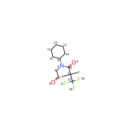 CC(C)(C(=O)N(CC=O)C1CCCCC1)C(F)(F)F